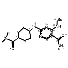 CN(C)C(=O)[C@H]1CC[C@H](Nc2ncc(C(N)=O)c(NC(C)(C)C)n2)CC1